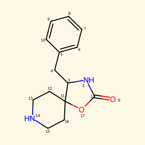 O=C1NC(Cc2ccccc2)C2(CCNCC2)O1